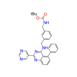 CC(C)(C)OC(=O)NCc1cccc(CNc2nc(-c3cncnc3)nc3cccc(-c4ccccc4)c23)c1